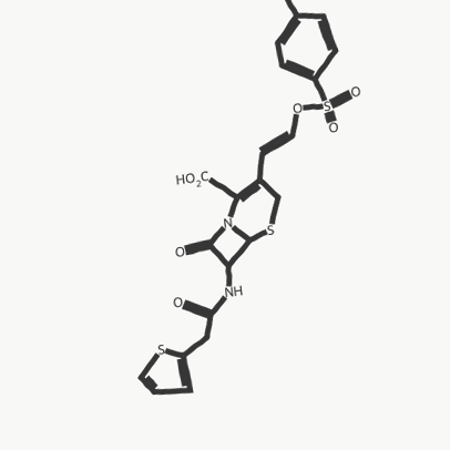 Cc1ccc(S(=O)(=O)OC=CC2=C(C(=O)O)N3C(=O)C(NC(=O)Cc4cccs4)C3SC2)cc1